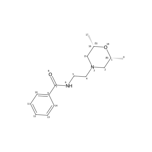 C[C@@H]1CN(CCNC(=O)c2ccccc2)C[C@H](C)O1